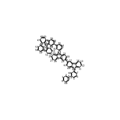 c1ccc(-c2cccc(-n3c4ccccc4c4cc(-c5ccc6c(c5)c5ccccc5n6-c5cccc(-c6cccc([Si](c7ccccc7)(c7ccccc7)c7ccccc7)c6)c5)ccc43)c2)cc1